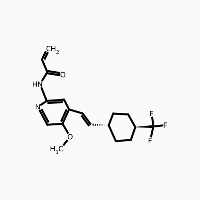 C=CC(=O)Nc1cc(/C=C/[C@H]2CC[C@H](C(F)(F)F)CC2)c(OC)cn1